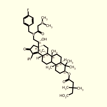 CC(C)C1=C2[C@H]3CCC4[C@@]5(C)CC[C@H](OC(=O)CC(C)(C)CC(=O)O)C(C)(C)[C@@H]5CC[C@@]4(C)[C@]3(C)CC[C@@]2([C@@H](O)CN(Cc2ccc(F)cc2)C(=O)CN(C)C)CC1=O